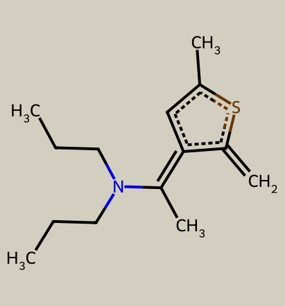 C=c1sc(C)c/c1=C(/C)N(CCC)CCC